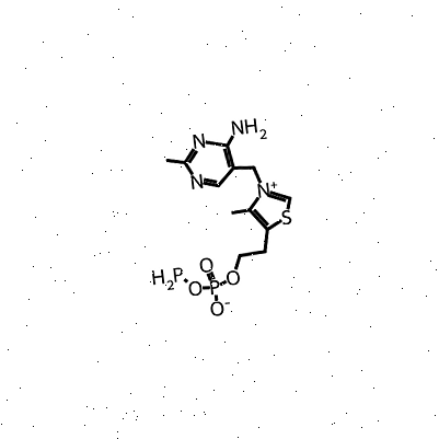 Cc1ncc(C[n+]2csc(CCOP(=O)([O-])OP)c2C)c(N)n1